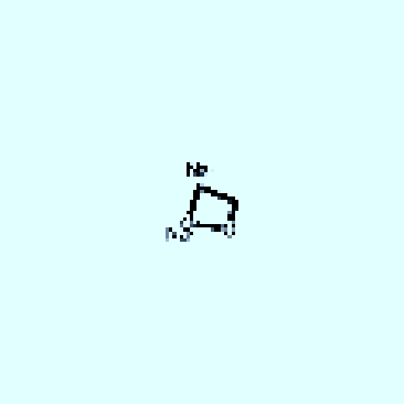 C1COO1.[Na].[Na]